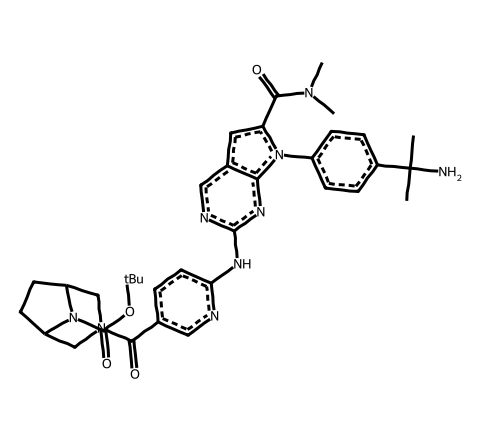 CN(C)C(=O)c1cc2cnc(Nc3ccc(C(=O)N4CC5CCC(C4)N5C(=O)OC(C)(C)C)cn3)nc2n1-c1ccc(C(C)(C)N)cc1